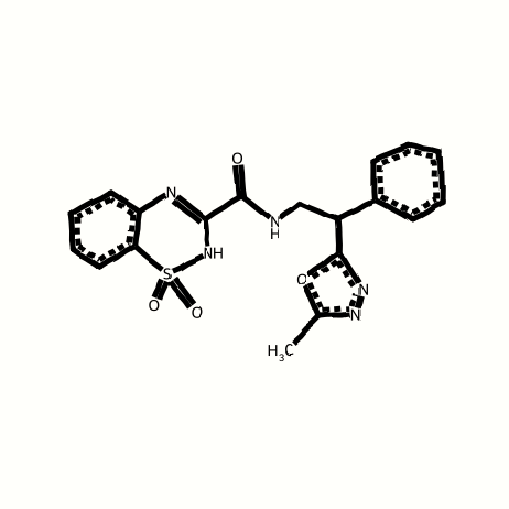 Cc1nnc(C(CNC(=O)C2=Nc3ccccc3S(=O)(=O)N2)c2ccccc2)o1